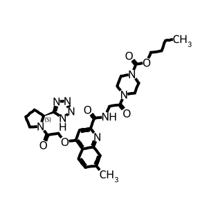 CCCCOC(=O)N1CCN(C(=O)CNC(=O)c2cc(OCC(=O)N3CCC[C@H]3c3nnn[nH]3)c3ccc(C)cc3n2)CC1